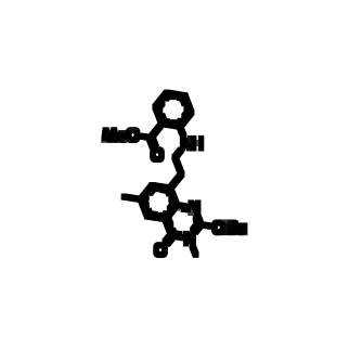 COC(=O)c1ccccc1NCCc1cc(C)cc2c(=O)n(C)c(OCC(C)C)nc12